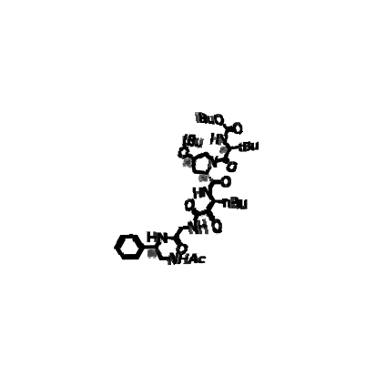 CCCCC(NC(=O)[C@@H]1C[C@@H](OC(C)(C)C)CN1C(=O)[C@@H](NC(=O)OCC(C)C)C(C)(C)C)C(=O)C(=O)NCC(=O)N[C@@H](CNC(C)=O)c1ccccc1